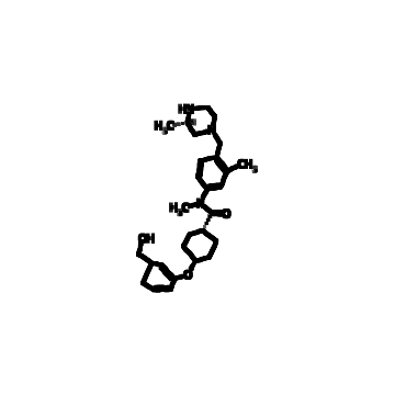 Cc1cc(N(C)C(=O)[C@H]2CC[C@H](OC3=CC(CO)CC=C3)CC2)ccc1CN1CCN[C@@H](C)C1